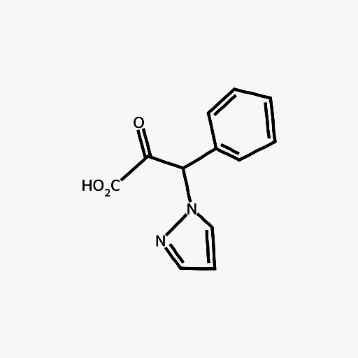 O=C(O)C(=O)C(c1ccccc1)n1cccn1